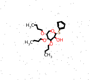 CCCCOC1C(O)[C@@H](Sc2ccccc2)OC[C@@H](OCCCC)[C@H]1OCCCC